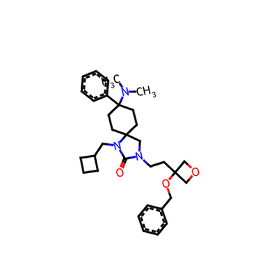 CN(C)C1(c2ccccc2)CCC2(CC1)CN(CCC1(OCc3ccccc3)COC1)C(=O)N2CC1CCC1